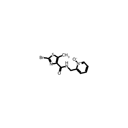 Cc1sc(Br)nc1C(=O)NCc1cccc[n+]1[O-]